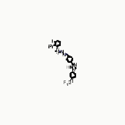 CC(C)c1c(F)cccc1N1CS/C1=N\N=C\c1ccc(C2N=CN(c3ccc(OC(F)(F)F)cc3)N2)cc1